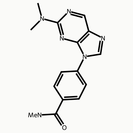 CNC(=O)c1ccc(-n2cnc3cnc(N(C)C)nc32)cc1